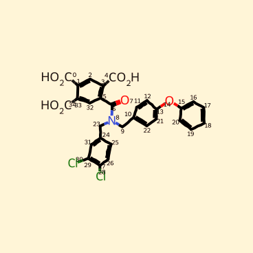 O=C(O)c1cc(C(=O)O)c(C(=O)N(Cc2ccc(Oc3ccccc3)cc2)Cc2ccc(Cl)c(Cl)c2)cc1C(=O)O